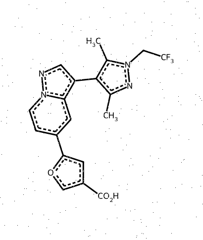 Cc1nn(CC(F)(F)F)c(C)c1-c1cnn2ccc(-c3cc(C(=O)O)co3)cc12